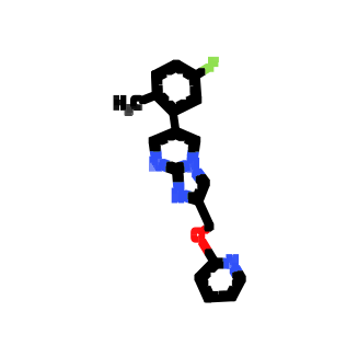 Cc1ccc(F)cc1-c1cnc2nc(COc3ccccn3)cn2c1